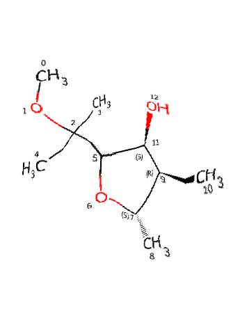 COC(C)(C)C1O[C@@H](C)[C@H](C)[C@@H]1O